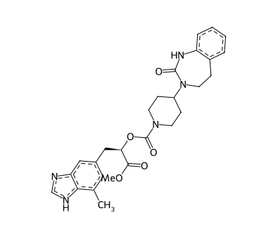 COC(=O)[C@@H](Cc1cc(C)c2[nH]cnc2c1)OC(=O)N1CCC(N2CCc3ccccc3NC2=O)CC1